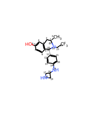 C[C@@H]1Cc2cc(O)ccc2[C@@H](c2ccc(NC3CNC3)cc2)N1CC(F)(F)F